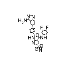 CN(C)S(=O)(=O)c1cnc(NCc2ccc(-c3ccc4ncnc(N)c4c3)s2)c(C(=O)Nc2ccc(F)c(F)c2)c1